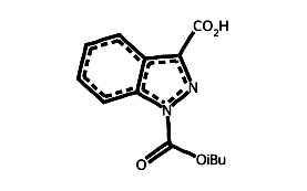 CC(C)COC(=O)n1nc(C(=O)O)c2ccccc21